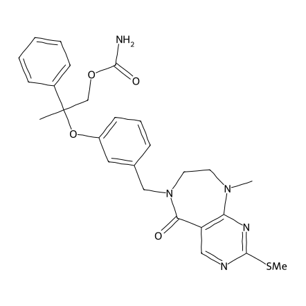 CSc1ncc2c(n1)N(C)CCN(Cc1cccc(OC(C)(COC(N)=O)c3ccccc3)c1)C2=O